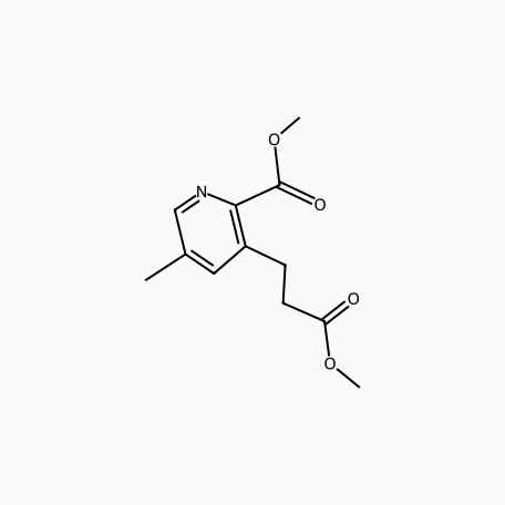 COC(=O)CCc1cc(C)cnc1C(=O)OC